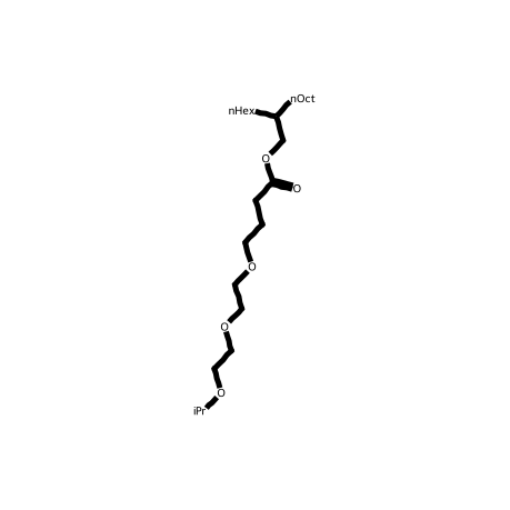 CCCCCCCCC(CCCCCC)COC(=O)CCCOCCOCCOC(C)C